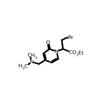 CCOC(=O)C(CC(C)C)n1ccc(CN(C)C)cc1=O